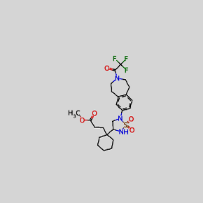 COC(=O)CCC1(C2CN(c3ccc4c(c3)CCN(C(=O)C(F)(F)F)CC4)S(=O)(=O)N2)CCCCC1